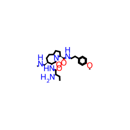 CC[C@H](N)C(=O)N[C@@H]1C(=O)N2C(CC[C@@H]1CNC)CC[C@H]2C(=O)NCCc1ccc(OC)cc1